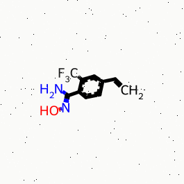 C=Cc1ccc(/C(N)=N/O)c(C(F)(F)F)c1